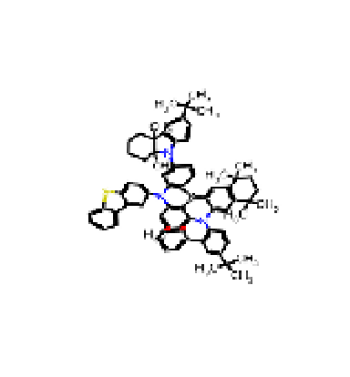 Cc1cc2c3c(c1)N(c1ccc(C(C)(C)C)cc1-c1ccccc1)c1cc4c(cc1B3c1ccc(N3c5ccc(C(C)(C)C)cc5C5(C)CCCCC35C)cc1N2c1ccc2sc3ccccc3c2c1)C(C)(C)CCC4(C)C